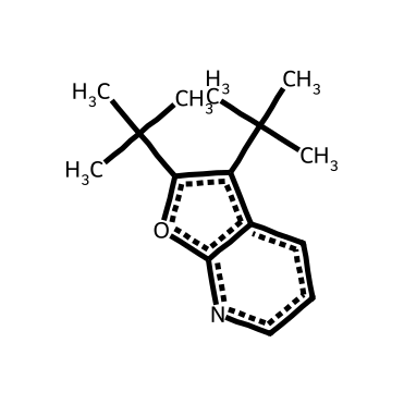 CC(C)(C)c1oc2ncccc2c1C(C)(C)C